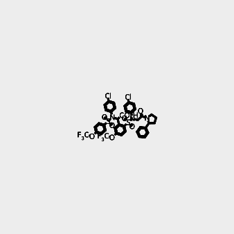 O=C(O)C(c1cc(OC(F)(F)F)ccc1S(=O)(=O)N(CC(=O)N1CCCC1c1ccccc1)c1ccc(Cl)cc1)N(c1ccc(Cl)cc1)S(=O)(=O)c1ccc(OC(F)(F)F)cc1